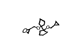 C1CCC(OCC2CC2)(C2(OCC3CO3)CCCC2)C1